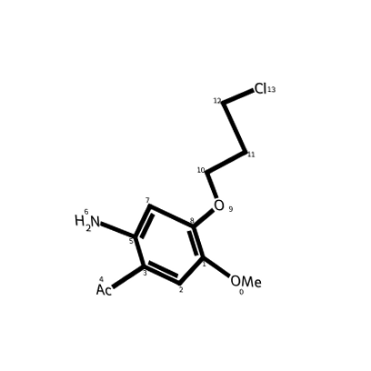 COc1cc(C(C)=O)c(N)cc1OCCCCl